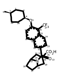 C[C@H]1CC[C@@H](Oc2ccc3cc(C(=O)N4C5CCC4CC(C(=O)O)C5)ccc3c2C(F)(F)F)CC1